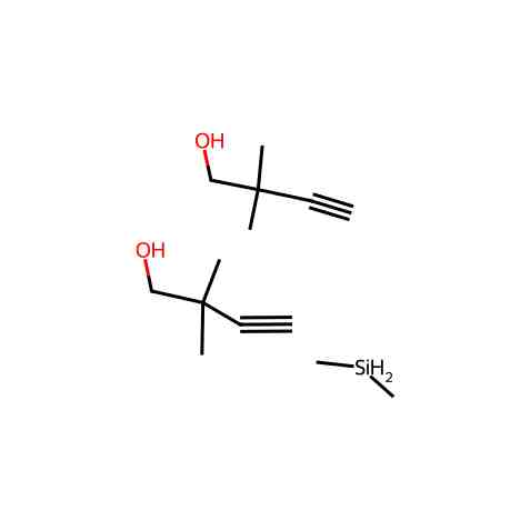 C#CC(C)(C)CO.C#CC(C)(C)CO.C[SiH2]C